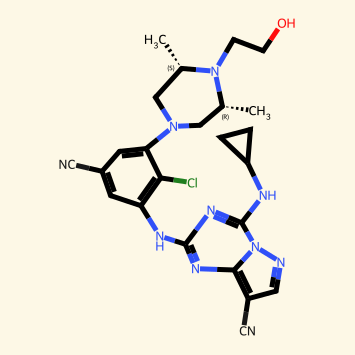 C[C@@H]1CN(c2cc(C#N)cc(Nc3nc(NC4CC4)n4ncc(C#N)c4n3)c2Cl)C[C@H](C)N1CCO